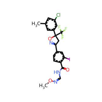 CO/N=C\NC(=O)c1ccc(C2=NOC(c3cc(C)cc(Cl)c3)(C(F)(F)F)C2)cc1I